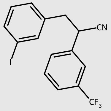 N#CC(Cc1cccc(I)c1)c1cccc(C(F)(F)F)c1